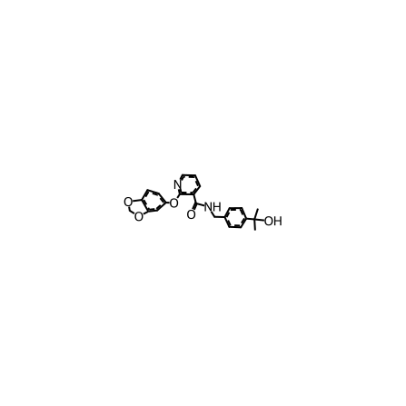 CC(C)(O)c1ccc(CNC(=O)c2cccnc2Oc2ccc3c(c2)OCO3)cc1